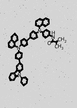 C=C(C)C(=O)Nc1ccc(N(c2ccc(-c3ccc(N(c4ccc(-c5ccc6c(c5)c5ccccc5n6-c5ccccc5)cc4)c4cccc5ccccc45)cc3)cc2)c2cccc3ccccc23)cc1